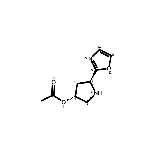 CC(=O)O[C@H]1CN[C@H](c2ncco2)C1